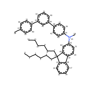 CCCCCCC1(CCCCCC)c2ccccc2-c2ccc(N(C)c3ccc(-c4cccc(-c5ccc(C)cc5)c4)cc3)cc21